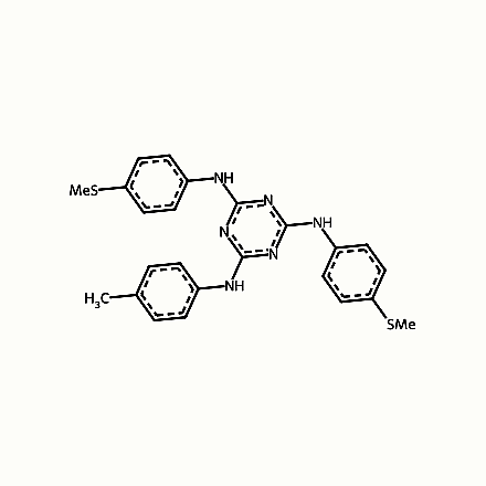 CSc1ccc(Nc2nc(Nc3ccc(C)cc3)nc(Nc3ccc(SC)cc3)n2)cc1